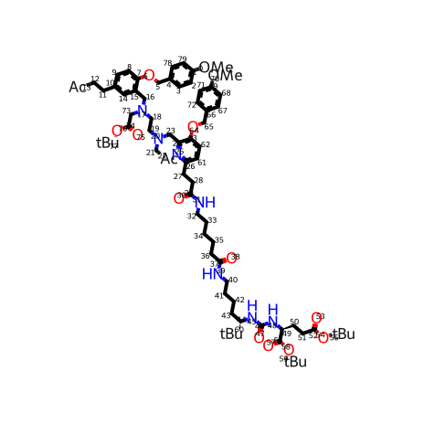 COc1ccc(COc2ccc(CCC(C)=O)cc2CN(CCN(CC(C)=O)Cc2nc(CCC(=O)NCCCCCC(=O)NCCCC[C@H](NC(=O)N[C@@H](CCC(=O)OC(C)(C)C)C(=O)OC(C)(C)C)C(C)(C)C)ccc2OCc2ccc(OC)cc2)CC(=O)OC(C)(C)C)cc1